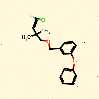 CC(C)(C=C(F)Cl)COCc1cccc(Oc2ccccc2)c1